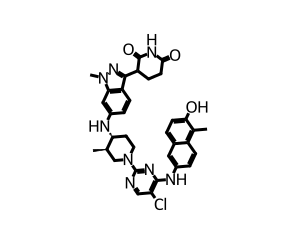 Cc1c(O)ccc2cc(Nc3nc(N4CC[C@@H](Nc5ccc6c(C7CCC(=O)NC7=O)nn(C)c6c5)[C@H](C)C4)ncc3Cl)ccc12